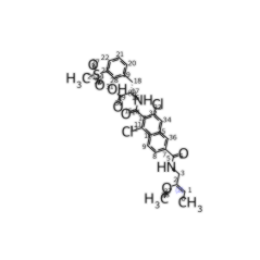 C/C=C(/CNC(=O)c1ccc2c(Cl)c(C(=O)N[C@@H](Cc3cccc(S(C)(=O)=O)c3)C(=O)O)c(Cl)cc2c1)OC